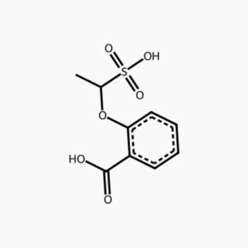 CC(Oc1ccccc1C(=O)O)S(=O)(=O)O